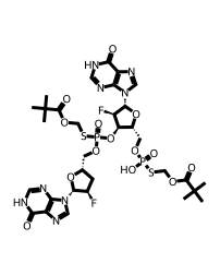 CC(C)(C)C(=O)OCSP(=O)(O)OC[C@H]1O[C@@H](n2cnc3c(=O)[nH]cnc32)[C@H](F)[C@@H]1OP(=O)(OC[C@@H]1C[C@@H](F)[C@H](n2cnc3c(=O)[nH]cnc32)O1)SCOC(=O)C(C)(C)C